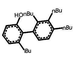 CCCCc1ccc(-c2c(O)cccc2C(C)CC)c(CCCC)c1CCCC